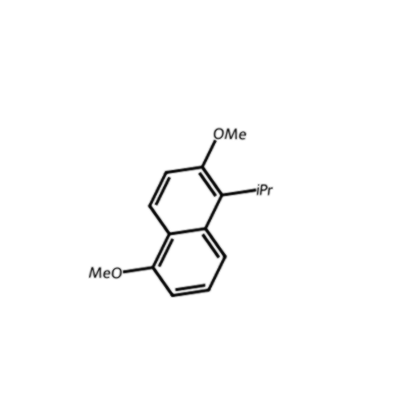 COc1ccc2c(OC)cccc2c1C(C)C